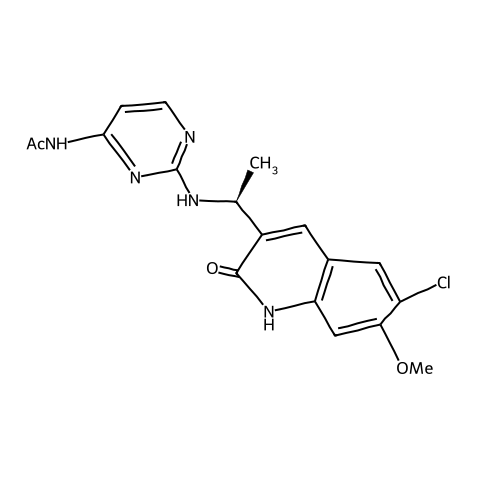 COc1cc2[nH]c(=O)c([C@H](C)Nc3nccc(NC(C)=O)n3)cc2cc1Cl